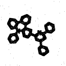 c1ccc(-c2cc(-c3ccccc3)nc(-c3ccc4c(c3)-c3ccccc3-c3ccccc3N4c3ccccc3)c2)cc1